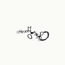 CCCCCCNC(=O)SS/C1=N/CCCCCCO1